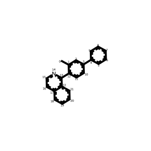 Cc1cc(-c2ccccc2)ccc1-c1nccc2ccccc12